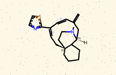 C=C1/C=C\C(c2nccs2)=C/C[C@]23CCCCC2[C@H](C1)N(C)CC3